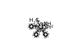 C=CCC1OC(C(N)C(C)C)C(OCc2ccccc2)C(OCc2ccccc2)C1OCc1ccccc1